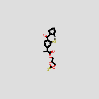 CC(C(=O)OCC1COC(=S)O1)c1ccc2c(c1)SCc1ccccc1C2=O